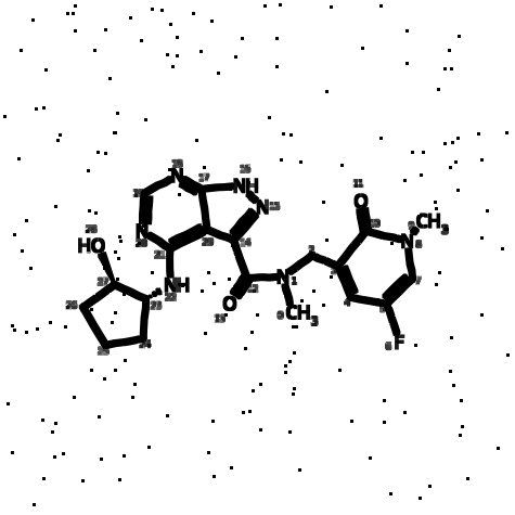 CN(Cc1cc(F)cn(C)c1=O)C(=O)c1n[nH]c2ncnc(N[C@@H]3CCC[C@H]3O)c12